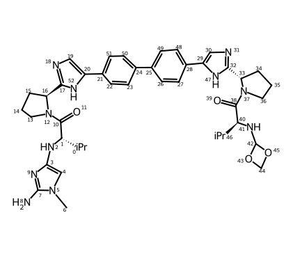 CC(C)[C@H](Nc1cn(C)c(N)n1)C(=O)N1CCC[C@H]1c1ncc(-c2ccc(-c3ccc(-c4cnc([C@@H]5CCCN5C(=O)[C@@H](NC5OCO5)C(C)C)[nH]4)cc3)cc2)[nH]1